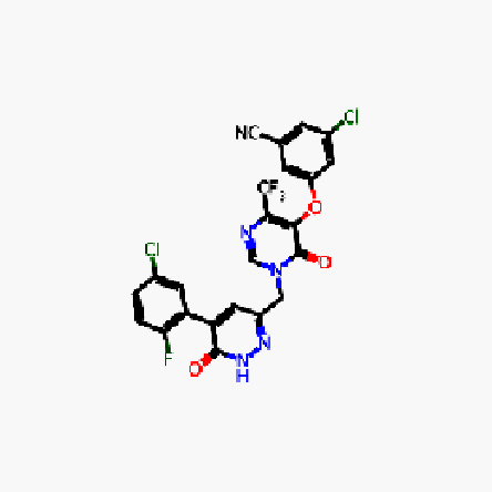 N#Cc1cc(Cl)cc(Oc2c(C(F)(F)F)ncn(Cc3cc(-c4cc(Cl)ccc4F)c(=O)[nH]n3)c2=O)c1